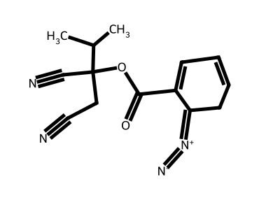 CC(C)C(C#N)(CC#N)OC(=O)C1=CC=CCC1=[N+]=[N-]